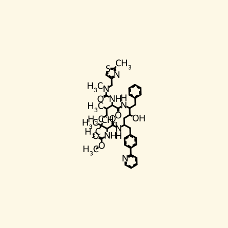 CCC(C)C(NC(=O)N(C)Cc1csc(C)n1)C(=O)NC(Cc1ccccc1)C(O)CC(Cc1ccc(-c2ccccn2)cc1)NC(=O)C(NC(=O)OC)C(C)(C)C